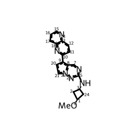 CO[C@H]1C[C@@H](Nc2ncc3c(-c4ccc5ncccc5n4)ccn3n2)C1